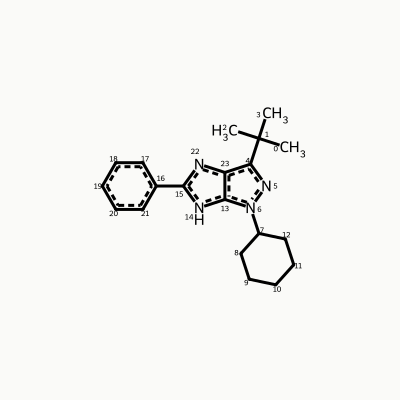 CC(C)(C)c1nn(C2CCCCC2)c2[nH]c(-c3ccccc3)nc12